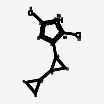 Clc1cc(C2CC2C2CC2)c(Cl)[nH]1